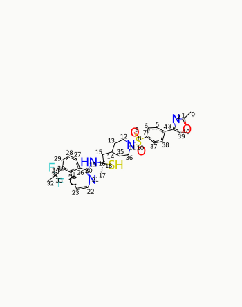 Cc1nc(-c2ccc(S(=O)(=O)N3CCC(C[C@@](C)(S)NC4=NC=CCc5c4cccc5C(C)(F)F)CC3)cc2)co1